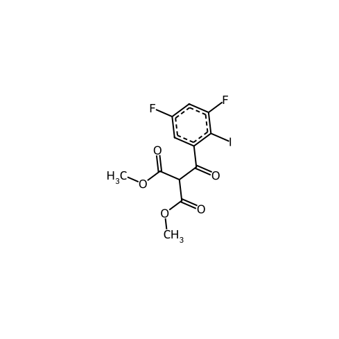 COC(=O)C(C(=O)OC)C(=O)c1cc(F)cc(F)c1I